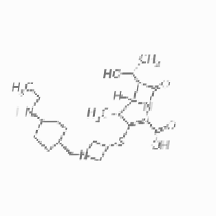 CCN[C@H]1CC[C@@H](CN2CC(SC3=C(C(=O)O)N4C(=O)[C@H]([C@@H](C)O)[C@H]4[C@H]3C)C2)CC1